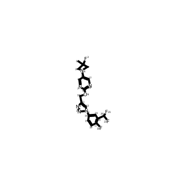 CC1(F)CN(c2cnc(OCc3cn(-c4ccc(F)c(C(F)F)c4)nn3)nc2)C1